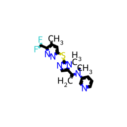 C=C(c1cnc(Sc2cc(C)c(C(F)F)nn2)n1C)N(C)c1cccnc1